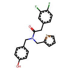 O=C(Cc1ccc(F)c(F)c1)N(Cc1ccc(O)cc1)Cc1cccs1